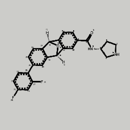 O=C(N[C@@H]1CCNC1)c1ccc2c(c1)[C@@H]1O[C@H]2c2ccc(-c3ccc(F)cc3F)cc21